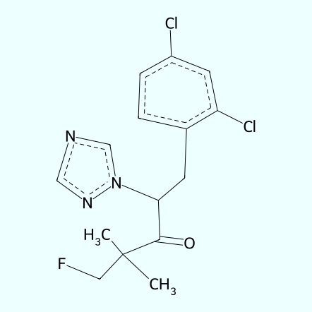 CC(C)(CF)C(=O)C(Cc1ccc(Cl)cc1Cl)n1cncn1